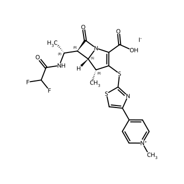 C[C@@H](NC(=O)C(F)F)[C@H]1C(=O)N2C(C(=O)O)=C(Sc3nc(-c4cc[n+](C)cc4)cs3)[C@H](C)[C@H]12.[I-]